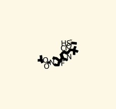 C[SiH](C)OC(c1ncc(C2(F)CCN(C(=O)OC(C)(C)C)CC2)cc1Cl)C(C)(C)C